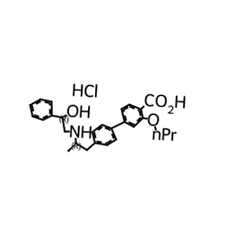 CCCOc1cc(-c2ccc(C[C@@H](C)NC[C@H](O)c3ccccc3)cc2)ccc1C(=O)O.Cl